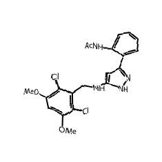 COc1cc(OC)c(Cl)c(CNc2cc(-c3ccccc3NC(C)=O)n[nH]2)c1Cl